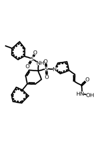 Cc1ccc(S(=O)(=O)NC2(S(=O)(=O)n3ccc(C=CC(=O)NO)c3)C=CC(c3ccccc3)=CC2)cc1